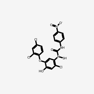 O=C(Nc1ccc([N+](=O)[O-])cc1)N(S)c1cc(Oc2ccc(Cl)cc2Cl)c(O)cc1Cl